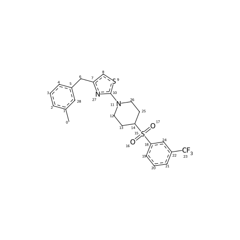 Cc1cccc(Cc2csc(N3CCC(S(=O)(=O)c4cccc(C(F)(F)F)c4)CC3)n2)c1